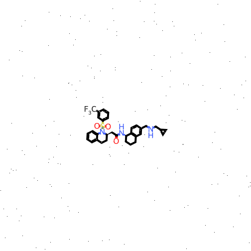 O=C(C[C@H]1CCc2ccccc2N1S(=O)(=O)c1cccc(C(F)(F)F)c1)N[C@@H]1CCCc2cc(CNCC3CC3)ccc21